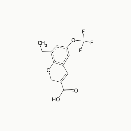 CCc1cc(OC(F)(F)F)cc2c1OCC(C(=O)O)=C2